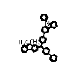 CC1(C)c2ccccc2-c2ccc(C(c3ccc(-c4ccccc4)cc3)c3ccc(-c4ccc5c(c4)c4ccccc4n5-c4ccccc4)cc3)cc21